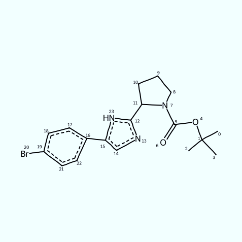 CC(C)(C)OC(=O)N1CCCC1c1ncc(-c2ccc(Br)cc2)[nH]1